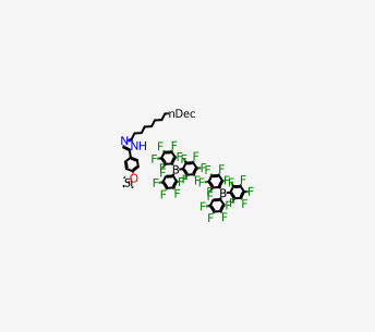 CCCCCCCCCCCCCCCCCc1ncc(-c2ccc(O[Si](C)(C)C)cc2)[nH]1.Fc1c(F)c(F)c(B(c2c(F)c(F)c(F)c(F)c2F)c2c(F)c(F)c(F)c(F)c2F)c(F)c1F.Fc1c(F)c(F)c(B(c2c(F)c(F)c(F)c(F)c2F)c2c(F)c(F)c(F)c(F)c2F)c(F)c1F